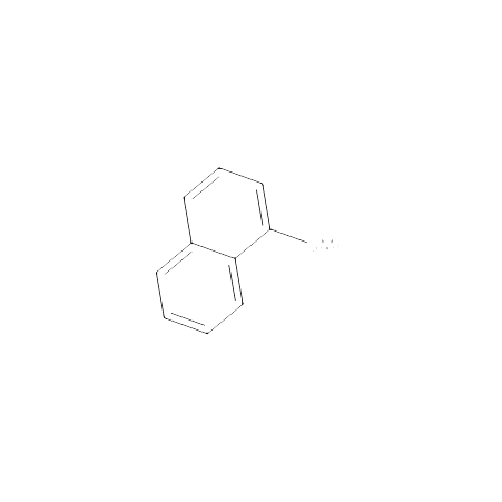 CSc1cc[c]c2ccccc12